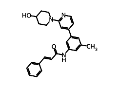 Cc1cc(NC(=O)C=Cc2ccccc2)cc(-c2ccnc(N3CCC(O)CC3)c2)c1